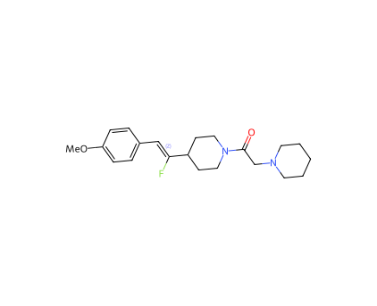 COc1ccc(/C=C(\F)C2CCN(C(=O)CN3CCCCC3)CC2)cc1